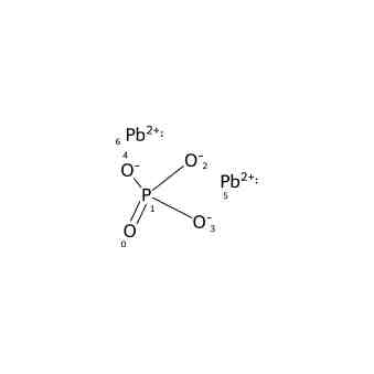 O=P([O-])([O-])[O-].[Pb+2].[Pb+2]